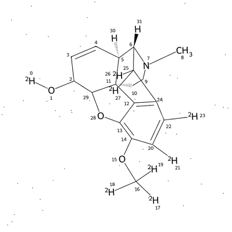 [2H]OC1C=C[C@H]2[C@@H]3N(C)CC[C@@]24c2c(c(OC([2H])([2H])[2H])c([2H])c([2H])c2C3([2H])[2H])OC14